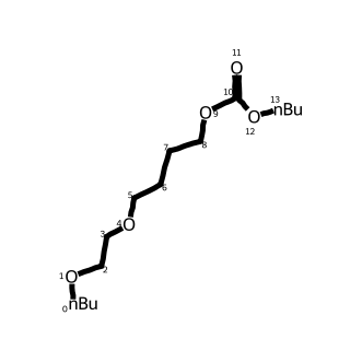 CCCCOCCOCCCCOC(=O)OCCCC